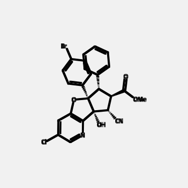 COC(=O)[C@@H]1[C@@H](c2ccccc2)[C@]2(c3ccc(Br)cc3)Oc3cc(Cl)cnc3[C@]2(O)[C@H]1C#N